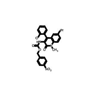 CC(C)c1ccc2c(c1)c(-c1ccccc1Cl)c(NC(=O)OCc1ccc([N+](=O)[O-])cc1)c(=O)n2C